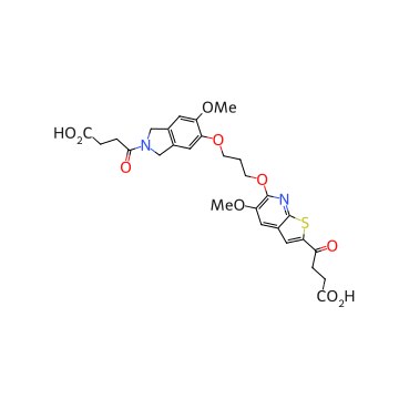 COc1cc2c(cc1OCCCOc1nc3sc(C(=O)CCC(=O)O)cc3cc1OC)CN(C(=O)CCC(=O)O)C2